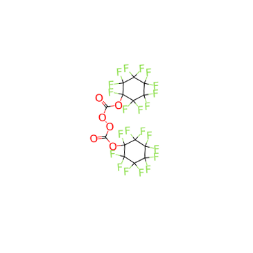 O=C(OOC(=O)OC1(F)C(F)(F)C(F)(F)C(F)(F)C(F)(F)C1(F)F)OC1(F)C(F)(F)C(F)(F)C(F)(F)C(F)(F)C1(F)F